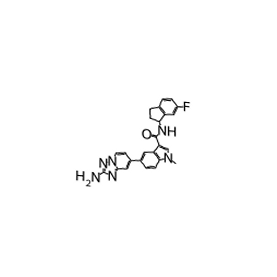 Cn1cc(C(=O)N[C@H]2CCc3ccc(F)cc32)c2cc(-c3ccn4nc(N)nc4c3)ccc21